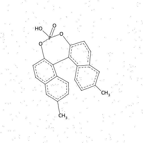 Cc1ccc2c3c(ccc2c1)OP(=O)(O)Oc1ccc2cc(C)ccc2c1-3